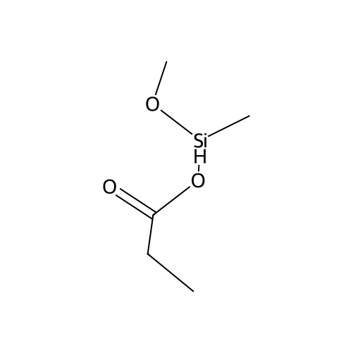 CCC(=O)O[SiH](C)OC